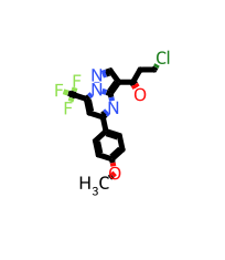 COc1ccc(-c2cc(C(F)(F)F)n3ncc(C(=O)CCCl)c3n2)cc1